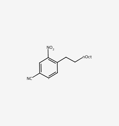 CCCCCCCCCCc1c[c]c(C#N)cc1[N+](=O)[O-]